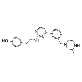 CC1CN(Cc2cccc(-c3ccnc(NCCc4ccc(O)cc4)n3)c2)CCN1